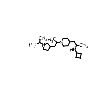 CC(CC1CCN(C(C)CC2CCN(C(C)C)C2)CC1)NC1CCC1